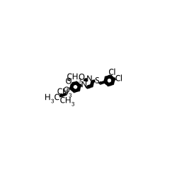 COc1cc(-n2ccc(SCc3ccc(Cl)c(Cl)c3)nc2=O)ccc1OCC(C)(C)C